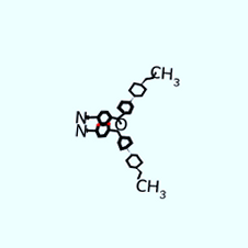 CCC[C@H]1CC[C@H](c2ccc(C(OC(c3ccc(C#N)cc3)c3ccc([C@H]4CC[C@H](CCC)CC4)cc3)c3ccc(C#N)cc3)cc2)CC1